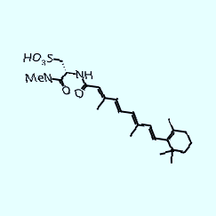 CNC(=O)[C@H](CS(=O)(=O)O)NC(=O)/C=C(C)/C=C/C=C(C)/C=C/C1=C(C)CCCC1(C)C